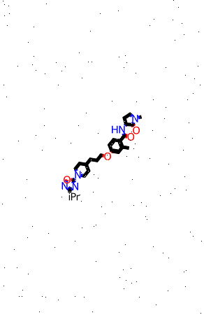 Cc1cc(OCCCC2CCN(c3nc(C(C)C)no3)CC2)ccc1C(=O)NC1CCN(C)C1=O